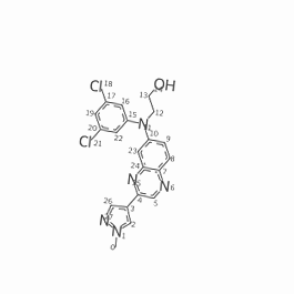 Cn1cc(-c2cnc3ccc(N(CCO)c4cc(Cl)cc(Cl)c4)cc3n2)cn1